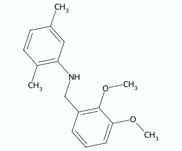 COc1cccc(CNc2cc(C)ccc2C)c1OC